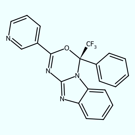 FC(F)(F)[C@]1(c2ccccc2)OC(c2cccnc2)=Nc2nc3ccccc3n21